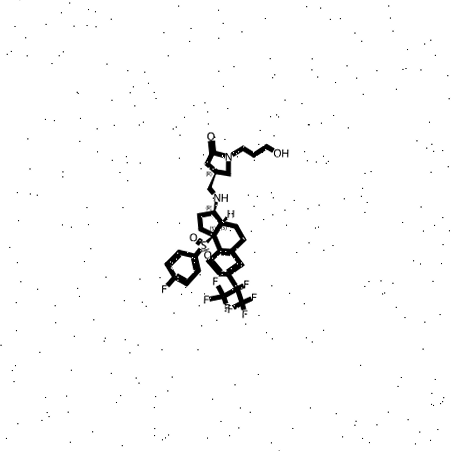 O=C1C[C@H](CN[C@@H]2CC[C@@]3(S(=O)(=O)c4ccc(F)cc4)c4ccc(C(F)(C(F)(F)F)C(F)(F)F)cc4CC[C@@H]23)CN1CCCO